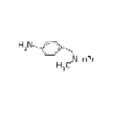 CCCN(C)Cc1ccc(N)cc1